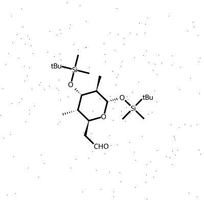 C[C@@H]1[C@H](O[Si](C)(C)C(C)(C)C)[C@@H](C)[C@H](O[Si](C)(C)C(C)(C)C)O[C@H]1CC=O